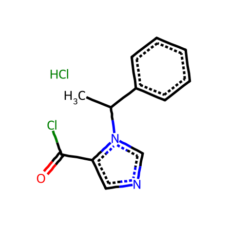 CC(c1ccccc1)n1cncc1C(=O)Cl.Cl